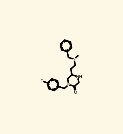 CN(CCC1CN(Cc2ccc(F)cc2)C(=O)CN1)Cc1ccccc1